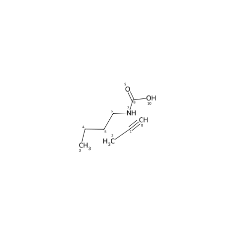 C#CC.CCCCNC(=O)O